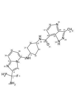 BC(F)(P)c1cn2c(NC3CCC(NC(=O)c4ccnc5c(C)n[nH]c45)CC3)cccc2n1